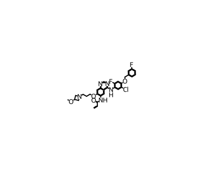 C=CC(=O)Nc1cc2c(Nc3cc(Cl)c(OCc4cccc(F)c4)cc3F)ncnc2cc1OCCCN1CC(OC)C1